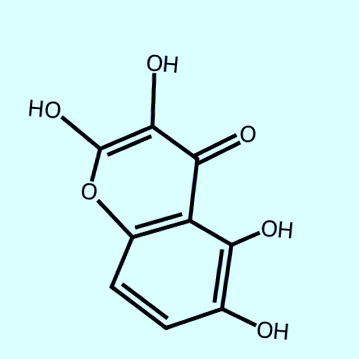 O=c1c(O)c(O)oc2ccc(O)c(O)c12